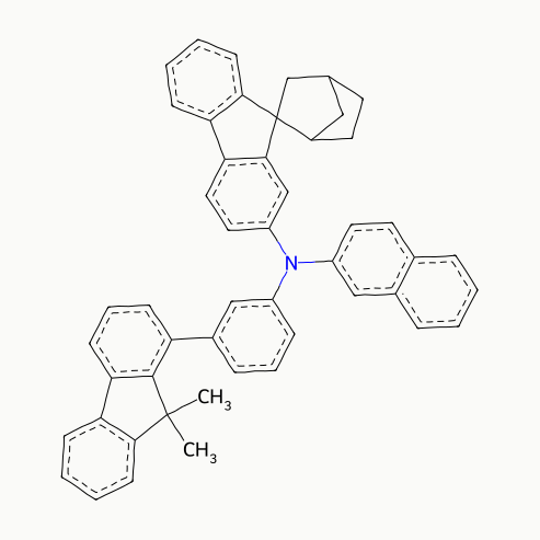 CC1(C)c2ccccc2-c2cccc(-c3cccc(N(c4ccc5c(c4)C4(CC6CCC4C6)c4ccccc4-5)c4ccc5ccccc5c4)c3)c21